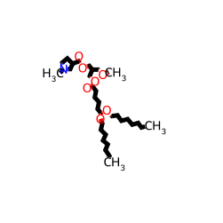 CCCCCCCCOC(CCCCC(=O)OCC(COC)COC(=O)C1CCN(C)C1)OCCCCCCCC